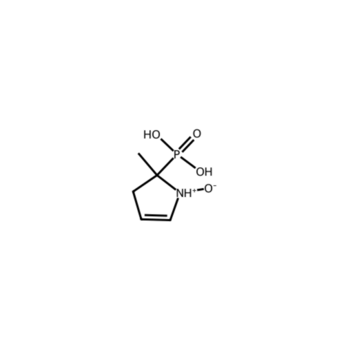 CC1(P(=O)(O)O)CC=C[NH+]1[O-]